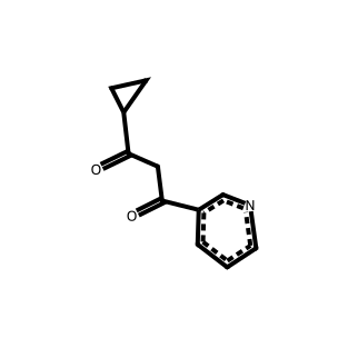 O=C(CC(=O)C1CC1)c1cccnc1